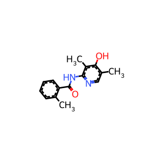 Cc1ccccc1C(=O)Nc1ncc(C)c(O)c1C